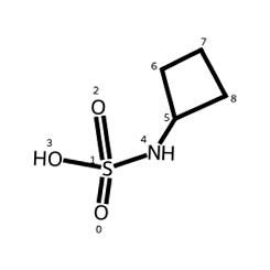 O=S(=O)(O)NC1CCC1